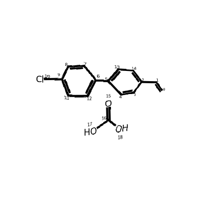 C=Cc1ccc(-c2ccc(Cl)cc2)cc1.O=C(O)O